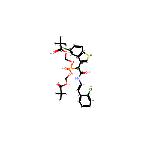 CC(C)(C)C(=O)OCOP(=O)(OCOC(=O)C(C)(C)C)C(C(=O)NC=Cc1ccccc1Cl)c1csc2ccc(Cl)cc12